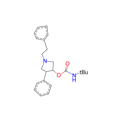 CC(C)(C)NC(=O)OC1CN(CCc2ccccc2)CC1c1ccccc1